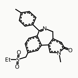 CCS(=O)(=O)Cc1ccc2c(c1)-c1cn(C)c(=O)cc1CN=C2c1ccc(C)cc1